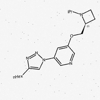 CCCCCCc1cn(-c2cncc(OC[C@@H]3CCN3C(C)C)c2)nn1